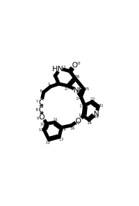 O=C1NCC2CCCCOc3cccc(c3)COc3cnccc3-c3cc1c2[nH]3